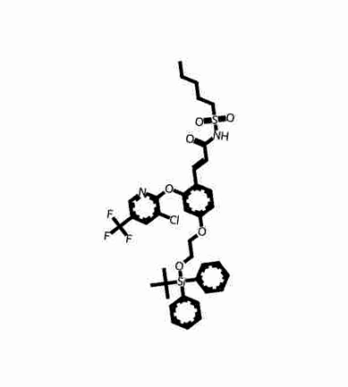 CCCCCS(=O)(=O)NC(=O)C=Cc1ccc(OCCO[Si](c2ccccc2)(c2ccccc2)C(C)(C)C)cc1Oc1ncc(C(F)(F)F)cc1Cl